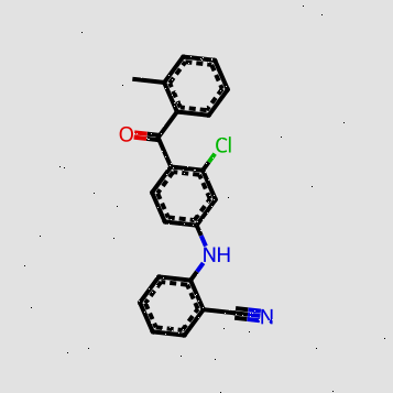 Cc1ccccc1C(=O)c1ccc(Nc2ccccc2C#N)cc1Cl